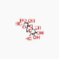 CCC1O[C@H](O)C(O)[C@@H](O)[C@@H]1O[C@@H]1OC(CO)[C@@H](O)[C@H](O)C1O